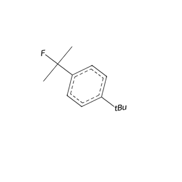 CC(C)(C)c1ccc(C(C)(C)F)cc1